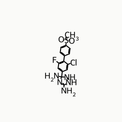 CS(=O)(=O)c1ccc(-c2c(F)cc(C3(N)N=C(N)NN3)cc2Cl)cc1